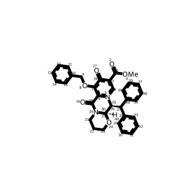 COC(=O)c1cn2c(c(OCc3ccccc3)c1=O)C(=O)N1CCCO[C@@H]1[C@@H]2C(c1ccccc1)c1ccccc1